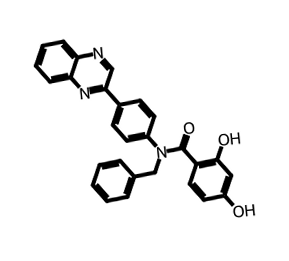 O=C(c1ccc(O)cc1O)N(Cc1ccccc1)c1ccc(-c2cnc3ccccc3n2)cc1